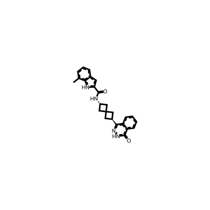 Cc1cccc2cc(C(=O)N[C@H]3CC4(C3)C[C@H](c3n[nH]c(=O)c5ccccc53)C4)[nH]c12